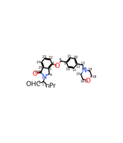 CCCC(C=O)N1Cc2c(OCc3ccc(CN4CCOCC4)cc3)cccc2C1=O